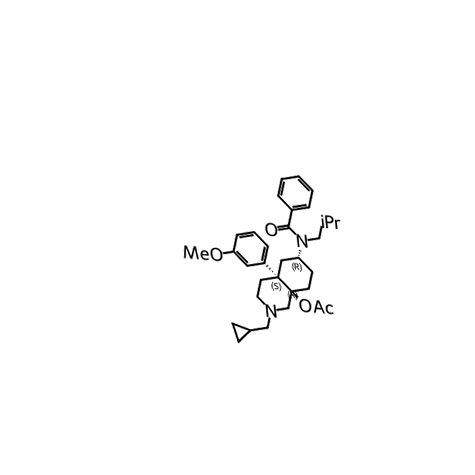 COc1cccc([C@@]23CCN(CC4CC4)C[C@@]2(OC(C)=O)CC[C@@H](N(CC(C)C)C(=O)c2ccccc2)C3)c1